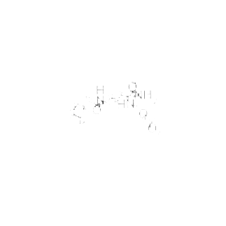 COCCOCCNC(CCCCNC(=O)Cc1ccccc1)C(N)=O